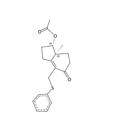 CC(=O)O[C@H]1CCC2=C(CSc3ccccc3)C(=O)CC[C@@]21C